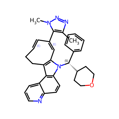 Cc1nnn(C)c1C1=C/c2c(c3c4cccnc4ccc3n2[C@H](c2ccccc2)C2CCOCC2)CC\C=C\1